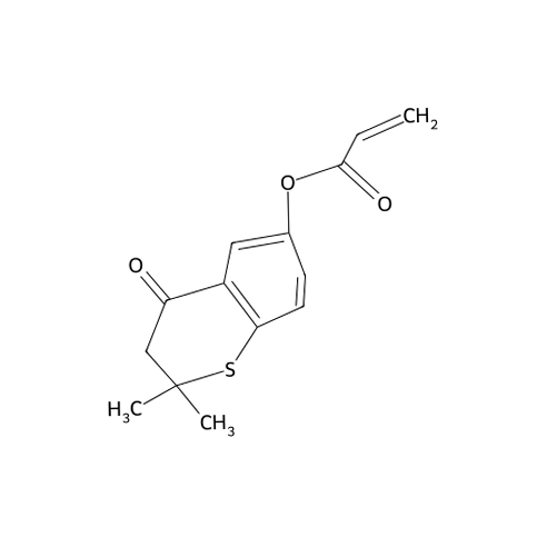 C=CC(=O)Oc1ccc2c(c1)C(=O)CC(C)(C)S2